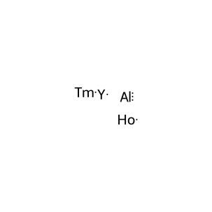 [Al].[Ho].[Tm].[Y]